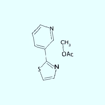 COC(C)=O.c1cncc(-c2nccs2)c1